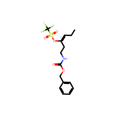 CC/C=C(\CCNC(=O)OCc1ccccc1)OS(=O)(=O)C(F)(F)F